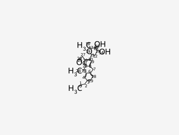 CCCc1ccc(Cc2cc(C3CC(O)[C@H](O)C(C)O3)c3c(c2CC)OCC3)cc1